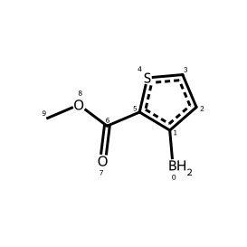 Bc1ccsc1C(=O)OC